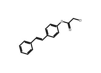 O=C(CCl)Oc1ccc(C=Cc2ccccc2)cc1